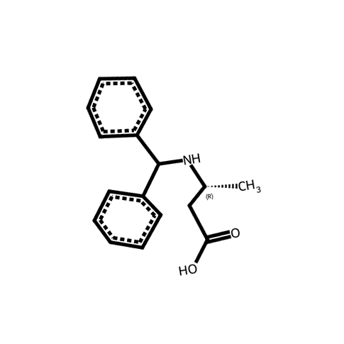 C[C@H](CC(=O)O)NC(c1ccccc1)c1ccccc1